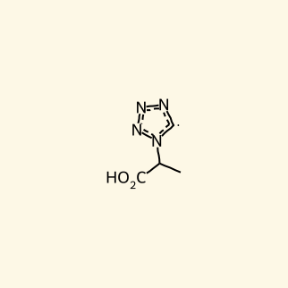 CC(C(=O)O)n1[c]nnn1